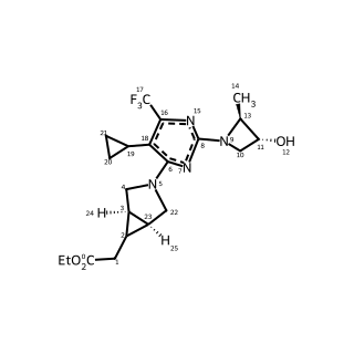 CCOC(=O)CC1[C@H]2CN(c3nc(N4C[C@@H](O)[C@@H]4C)nc(C(F)(F)F)c3C3CC3)C[C@@H]12